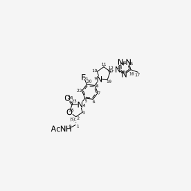 CC(=O)NC[C@H]1CN(c2ccc(N3CC[C@H](n4nnc(C)n4)C3)c(F)c2)C(=O)O1